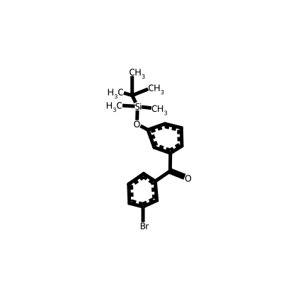 CC(C)(C)[Si](C)(C)Oc1cccc(C(=O)c2cccc(Br)c2)c1